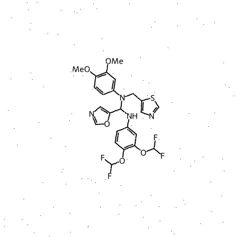 COc1ccc(N(Cc2cncs2)C(Nc2ccc(OC(F)F)c(OC(F)F)c2)c2cnco2)cc1OC